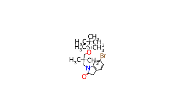 CC(C)(CO[Si](C)(C)C(C)(C)C)CN1C(=O)Cc2ccc(Br)cc21